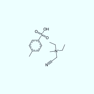 CC[N+](C)(CC)CC#N.Cc1ccc(S(=O)(=O)O)cc1